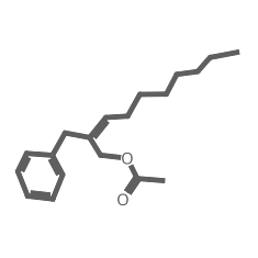 CCCCCCCC=C(COC(C)=O)Cc1ccccc1